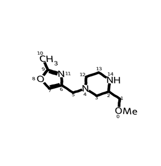 COCC1CN(Cc2coc(C)n2)CCN1